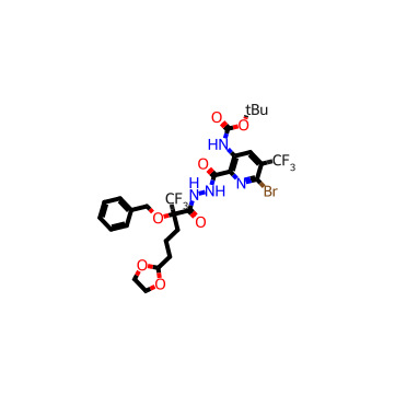 CC(C)(C)OC(=O)Nc1cc(C(F)(F)F)c(Br)nc1C(=O)NNC(=O)C(CCCC1OCCO1)(OCc1ccccc1)C(F)(F)F